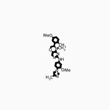 COc1ccc(C)c(C2COc3cnc(Nc4ccc(-n5cnc(C)c5)c(OC)c4)nc3N2C)c1